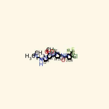 COC1c2nc(NCCN(C)C)ccc2C=C(c2ccc(NC(=O)c3ccc(Cl)c(C(F)(F)F)c3)cc2Cl)[NH+]1[O-]